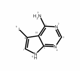 Nc1ncnc2[nH]cc(I)c12